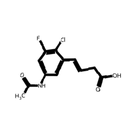 CC(=O)Nc1cc(F)c(Cl)c(C=CCC(=O)O)c1